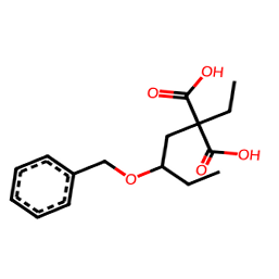 CCC(CC(CC)(C(=O)O)C(=O)O)OCc1ccccc1